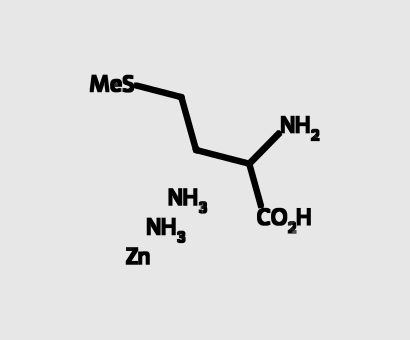 CSCCC(N)C(=O)O.N.N.[Zn]